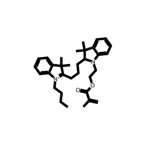 C=C(C)C(=O)OCCN1c2ccccc2C(C)(C)C1CCCC1=[N+](CCCC)c2ccccc2C1(C)C